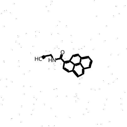 C#CCNC(=O)c1ccc2ccc3cccc4ccc1c2c34